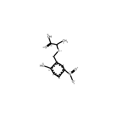 CC(SCc1cc([N+](=O)[O-])ccc1O)C(=O)O